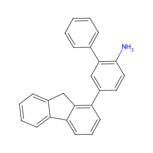 Nc1ccc(-c2cccc3c2Cc2ccccc2-3)cc1-c1ccccc1